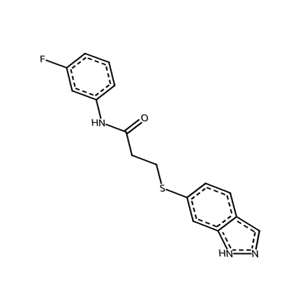 O=C(CCSc1ccc2cn[nH]c2c1)Nc1cccc(F)c1